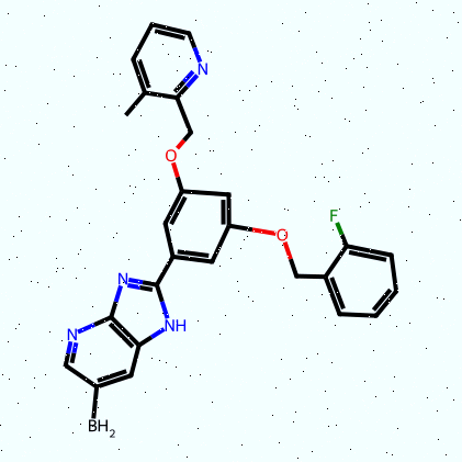 Bc1cnc2nc(-c3cc(OCc4ccccc4F)cc(OCc4ncccc4C)c3)[nH]c2c1